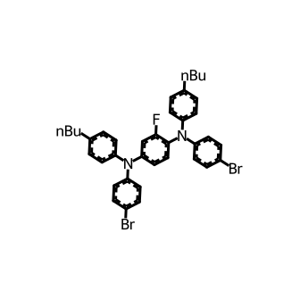 CCCCc1ccc(N(c2ccc(Br)cc2)c2ccc(N(c3ccc(Br)cc3)c3ccc(CCCC)cc3)c(F)c2)cc1